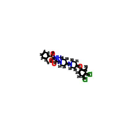 Cc1ccccc1S(=O)(=O)NC(=O)N1CCC(N2CCC(Oc3ccc(Cl)c(Cl)c3C)CC2)CC1